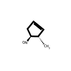 C[C@H]1C=CC[C@@H]1N=O